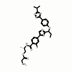 CCC(Oc1ccc(-c2noc(C(C)C)n2)cc1)c1nc(-c2ccc(C(=O)N[C@@H](C)COC(=O)CN)c(F)c2)co1